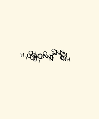 CC(C)(C)OC(=O)N1CCN(C(=O)Cn2cc(C3=CN(c4ncnc5[nH]ccc45)CCS3)cn2)CC1